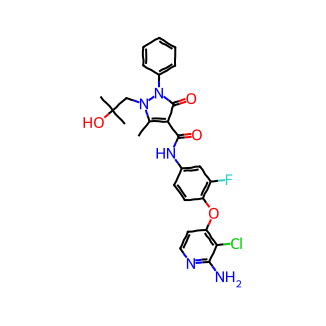 Cc1c(C(=O)Nc2ccc(Oc3ccnc(N)c3Cl)c(F)c2)c(=O)n(-c2ccccc2)n1CC(C)(C)O